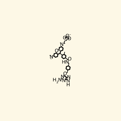 Cc1cc(C(=O)NCc2ccc(COc3nc(N)nc4[nH]cnc34)cc2)ccc1-c1c2cc/c(=[N+](/C)CCCS(=O)(=O)[O-])cc-2oc2cc(N(C)C)ccc12